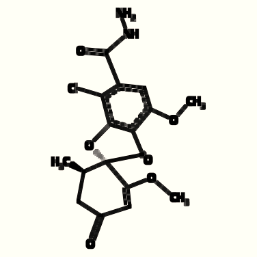 COC1=CC(=O)C[C@@H](C)[C@]12Oc1c(Cl)c(C(=O)NN)cc(OC)c1C2=O